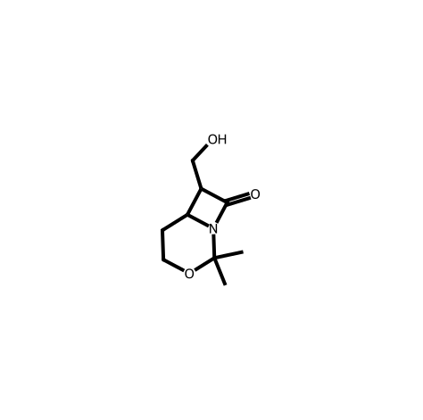 CC1(C)OCCC2C(CO)C(=O)N21